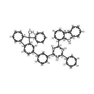 CC1(c2ccccc2)c2ccccc2-c2ccc(-c3cccc(-c4nc(-c5ccccc5)nc(-c5cccc6c5oc5ccccc56)n4)c3)cc21